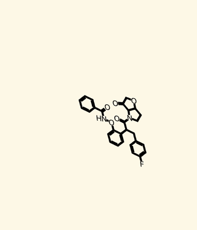 O=C(NOc1ccccc1C(Cc1ccc(F)cc1)C(=O)N1CCC2OCC(=O)C21)c1ccccc1